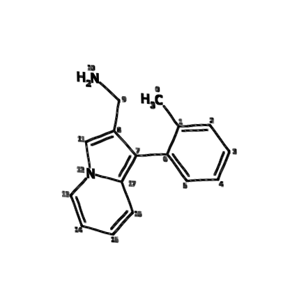 Cc1ccccc1-c1c(CN)cn2ccccc12